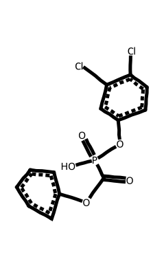 O=C(Oc1ccccc1)P(=O)(O)Oc1ccc(Cl)c(Cl)c1